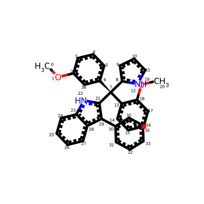 COc1cccc([C@@](c2ccc[nH]2)(c2ccccc2OC)c2[nH]c3ccccc3c2-c2ccccc2)c1